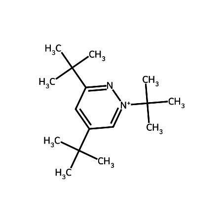 CC(C)(C)c1cc(C(C)(C)C)n[n+](C(C)(C)C)c1